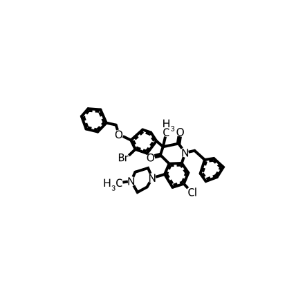 CN1CCN(c2cc(Cl)cc3c2C(=O)C(C)(c2ccc(OCc4ccccc4)c(Br)c2)C(=O)N3Cc2ccccc2)CC1